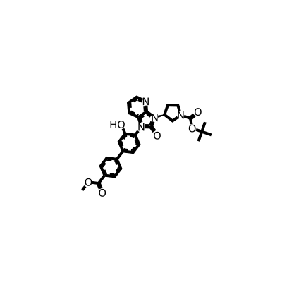 COC(=O)c1ccc(-c2ccc(-n3c(=O)n([C@H]4CCN(C(=O)OC(C)(C)C)C4)c4ncccc43)c(O)c2)cc1